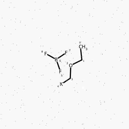 CCO[CH2][K].FB(F)F